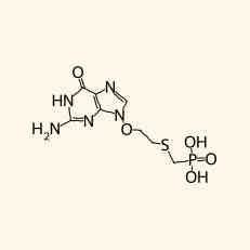 Nc1nc2c(ncn2OCCSCP(=O)(O)O)c(=O)[nH]1